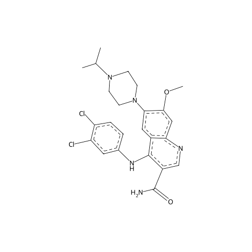 COc1cc2ncc(C(N)=O)c(Nc3ccc(Cl)c(Cl)c3)c2cc1N1CCN(C(C)C)CC1